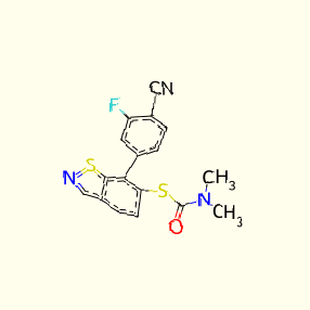 CN(C)C(=O)Sc1ccc2cnsc2c1-c1ccc(C#N)c(F)c1